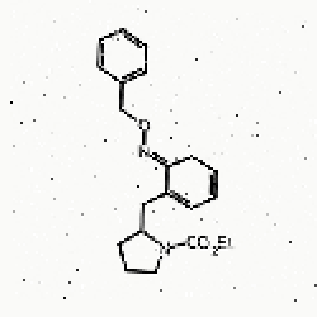 CCOC(=O)N1CCCC1CC1=CC=CCC1=NOCc1ccccc1